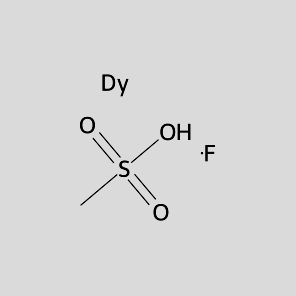 CS(=O)(=O)O.[Dy].[F]